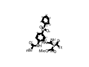 CCCCC(=O)Nc1ccc(S(=O)(=O)c2ccccc2)cc1NC(=N)N(C(=O)CC)C(=O)OC